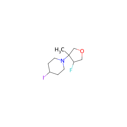 CC1(N2CCC(I)CC2)COCC1F